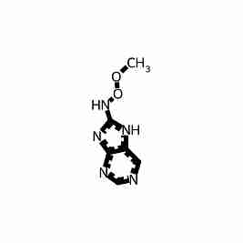 COONc1nc2ncncc2[nH]1